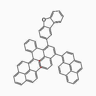 c1ccc(-c2ccc3ccc4cccc5ccc2c3c45)c(-c2c(-c3ccc4oc5ccccc5c4c3)cc(-c3ccc4ccc5cccc6ccc3c4c56)c3ccccc23)c1